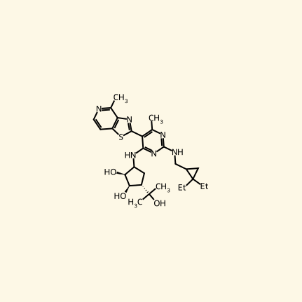 CCC1(CC)CC1CNc1nc(C)c(-c2nc3c(C)nccc3s2)c(NC2C[C@H](C(C)(C)O)[C@@H](O)[C@H]2O)n1